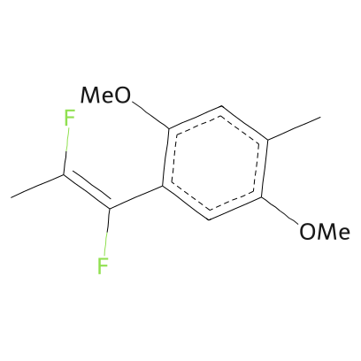 COc1cc(/C(F)=C(/C)F)c(OC)cc1C